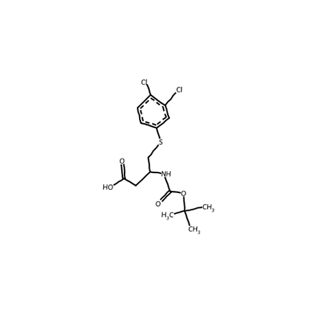 CC(C)(C)OC(=O)NC(CSc1ccc(Cl)c(Cl)c1)CC(=O)O